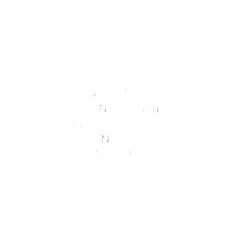 C=CCC1(C(C)CC)C(=O)N([Si](C)(C)C)C(=O)N([Si](C)(C)C)C1=O